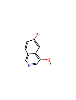 COc1cncc2ccc(Br)cc12